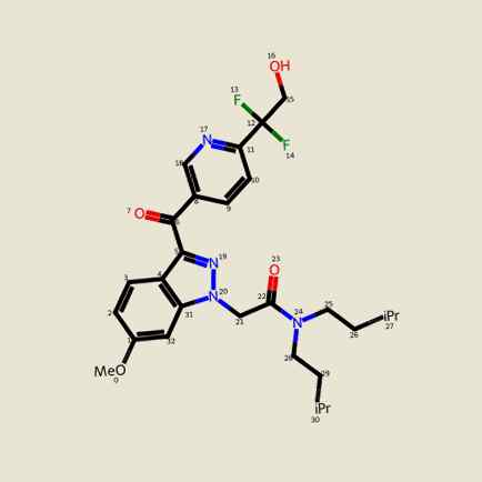 COc1ccc2c(C(=O)c3ccc(C(F)(F)CO)nc3)nn(CC(=O)N(CCC(C)C)CCC(C)C)c2c1